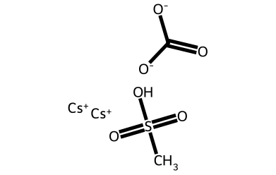 CS(=O)(=O)O.O=C([O-])[O-].[Cs+].[Cs+]